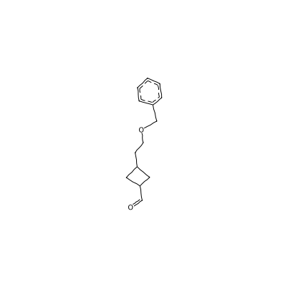 O=CC1CC(CCOCc2ccccc2)C1